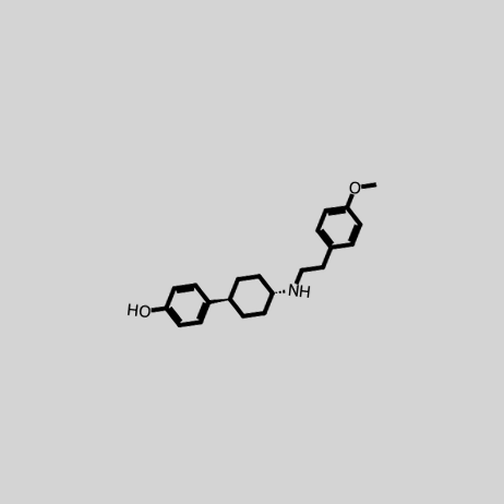 COc1ccc(CCN[C@H]2CC[C@H](c3ccc(O)cc3)CC2)cc1